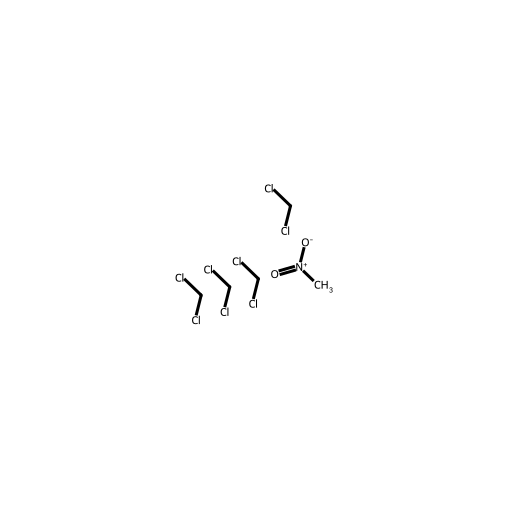 C[N+](=O)[O-].ClCCl.ClCCl.ClCCl.ClCCl